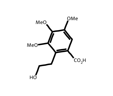 COc1cc(C(=O)O)c(CCO)c(OC)c1OC